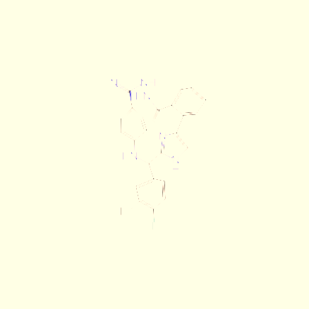 CCc1cc(C(Nc2ccc(C(=N)N)cc2)c2nc(-c3ccccc3C(N)=O)c[nH]2)ccc1F